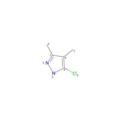 CC1=N[N]C(Cl)=C1C